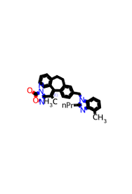 CCCc1nc2c(C)cccc2n1Cc1ccc2c(c1)CCc1ccccc1/C2=C(/C)c1noc(=O)[nH]1